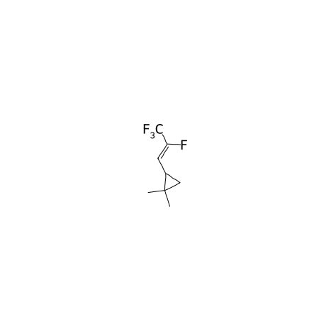 CC1(C)CC1C=C(F)C(F)(F)F